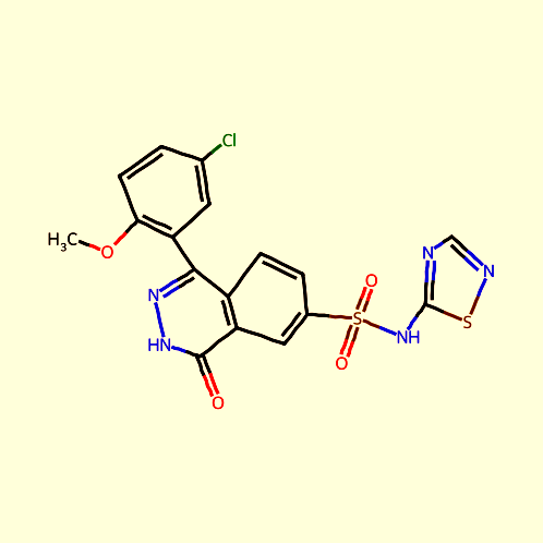 COc1ccc(Cl)cc1-c1n[nH]c(=O)c2cc(S(=O)(=O)Nc3ncns3)ccc12